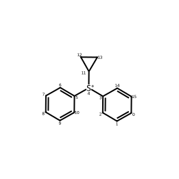 c1ccc([S+](c2ccccc2)C2CC2)cc1